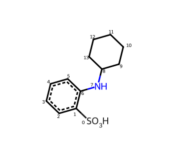 O=S(=O)(O)c1ccccc1NC1CCCCC1